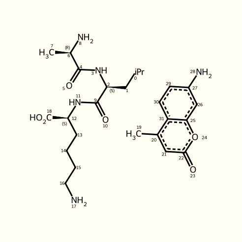 CC(C)C[C@H](NC(=O)[C@@H](C)N)C(=O)N[C@@H](CCCCN)C(=O)O.Cc1cc(=O)oc2cc(N)ccc12